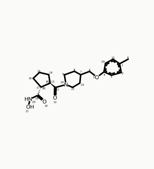 Cc1ccc(OCC2CCN(C(=O)[C@@H]3CCC[C@H]3C(=O)NO)CC2)cc1